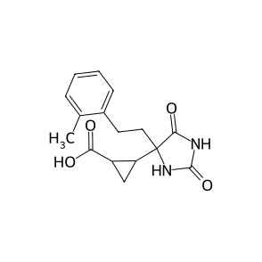 Cc1ccccc1CCC1(C2CC2C(=O)O)NC(=O)NC1=O